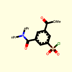 CCCN(CCC)C(=O)c1cc(C(=O)OC)cc(S(=O)(=O)Cl)c1